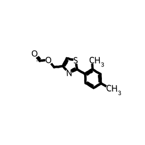 Cc1ccc(-c2nc(CO[C]=O)cs2)c(C)c1